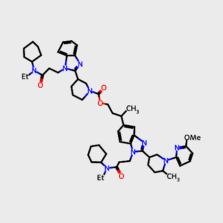 CCN(C(=O)CCn1c(C2CCCN(C(=O)OCCC(C)c3ccc4c(c3)nc(C3CCC(C)N(c5cccc(OC)n5)C3)n4CCC(=O)N(CC)C3CCCCC3)C2)nc2ccccc21)C1CCCCC1